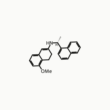 COc1cccc2c1CCC(N[C@H](C)c1cccc3ccccc13)=C2